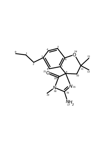 CCCc1ccc2c(c1)C1(CC(C)(C)O2)N=C(N)N(C)C1=O